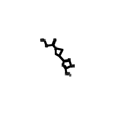 CC(C)(C)OC(=O)N1CC(c2n[nH]c(N)n2)C1